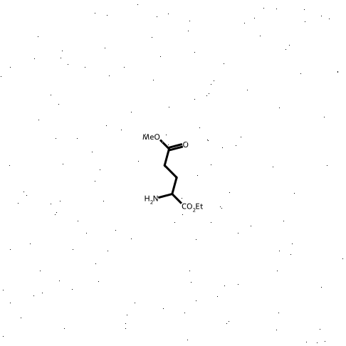 CCOC(=O)C(N)CCC(=O)OC